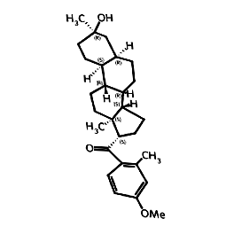 COc1ccc(C(=O)[C@H]2CC[C@H]3[C@@H]4CC[C@@H]5C[C@](C)(O)CC[C@@H]5[C@H]4CC[C@]23C)c(C)c1